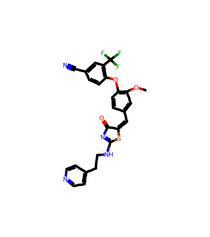 COc1cc(C=C2SC(NCCc3ccncc3)=NC2=O)ccc1Oc1ccc(C#N)cc1C(F)(F)F